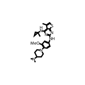 COc1cc(Nc2nc(NC3(C)CC3)c3c(C)csc3n2)ccc1N1CCC(N(C)C)CC1